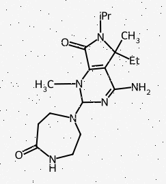 CCC1(C)C2=C(C(=O)N1C(C)C)N(C)C(N1CCNC(=O)CC1)N=C2N